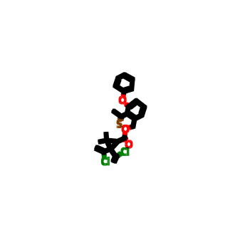 C=C(Cl)C1(C(=C)Cl)C(C(=O)OCc2cccc(Oc3ccccc3)c2C(C)=S)C1(C)C